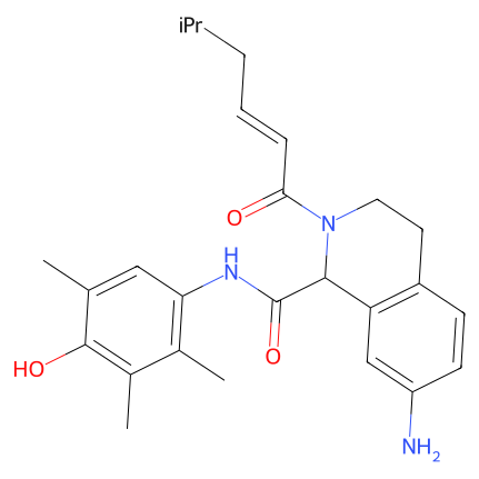 Cc1cc(NC(=O)C2c3cc(N)ccc3CCN2C(=O)/C=C/CC(C)C)c(C)c(C)c1O